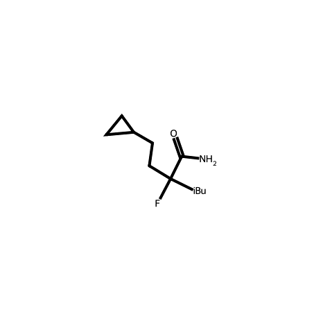 CCC(C)C(F)(CCC1CC1)C(N)=O